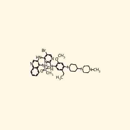 CCc1cc(Nc2ncc(Br)c(Nc3cnc4ccccc4c3NS(C)(=O)=O)n2)c(OC)cc1N1CCC(N2CCN(C)CC2)CC1